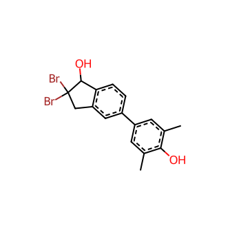 Cc1cc(-c2ccc3c(c2)CC(Br)(Br)C3O)cc(C)c1O